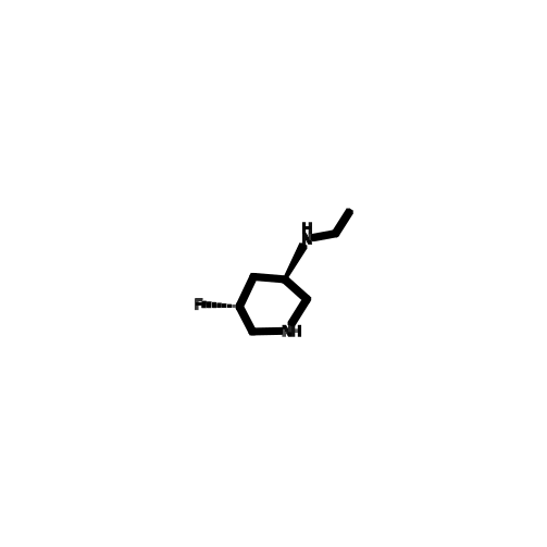 CCN[C@H]1CNC[C@H](F)C1